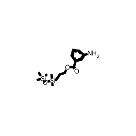 C[Si](C)(C)O[Si](C)(C)CCCOC(=O)c1cccc(N)c1